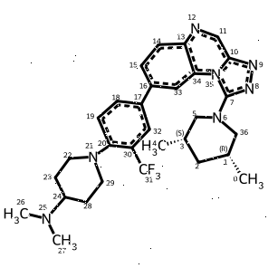 C[C@@H]1C[C@H](C)CN(c2nnc3cnc4ccc(-c5ccc(N6CCC(N(C)C)CC6)c(C(F)(F)F)c5)cc4n23)C1